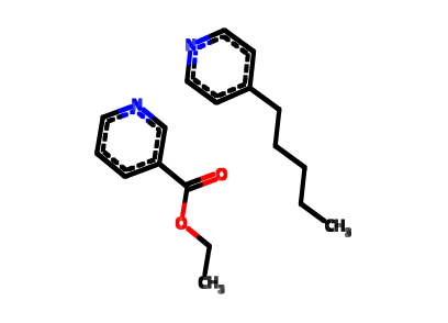 CCCCCc1ccncc1.CCOC(=O)c1cccnc1